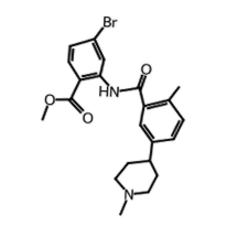 COC(=O)c1ccc(Br)cc1NC(=O)c1cc(C2CCN(C)CC2)ccc1C